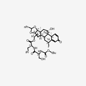 CCCC1O[C@@H]2C[C@H]3[C@@H]4C[C@H](F)C5=CC(=O)C=C[C@]5(C)[C@@]4(F)[C@@H](O)C[C@]3(C)[C@]2(C(=O)COC(=O)[C@H](CC(C)C)NC(=O)[C@H](CO)NC(=O)OC(C)(C)C)O1